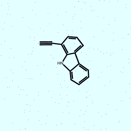 [C]#Cc1cccc2c1[nH]c1ccccc12